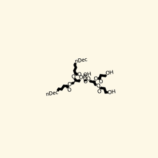 CCCCCCCCCCCCCC(=O)OC[C@H](COP(=O)(O)OCC(COC(=O)CCO)OC(=O)CCO)OC(=O)CCCCCCCCCCCCC